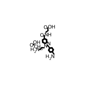 CC(=O)O.NCCCn1c(-c2ccc(CN)cc2)nc2cc(C(=O)NCCC(=O)O)ccc21